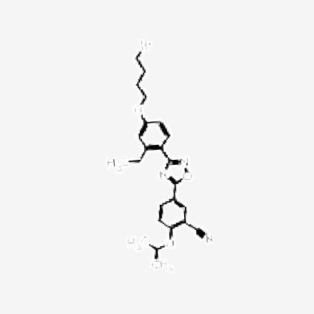 CCc1cc(OCCCCBr)ccc1-c1noc(-c2ccc(OC(C)C)c(C#N)c2)n1